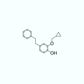 Oc1ccc(CCc2ccccc2)cc1OCC1CC1